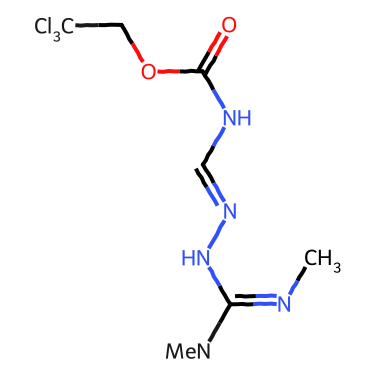 CN=C(NC)NN=CNC(=O)OCC(Cl)(Cl)Cl